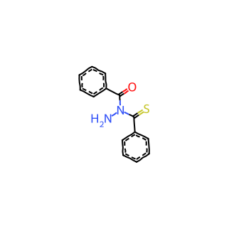 NN(C(=O)c1ccccc1)C(=S)c1ccccc1